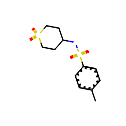 Cc1ccc(S(=O)(=O)NC2CCS(=O)(=O)CC2)cc1